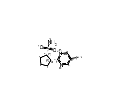 NS(=O)(=O)[C@H]1CCC[C@H]1c1ncc(F)cn1